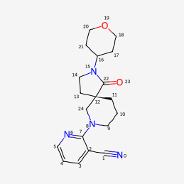 N#Cc1cccnc1N1CCC[C@]2(CCN(C3CCOCC3)C2=O)C1